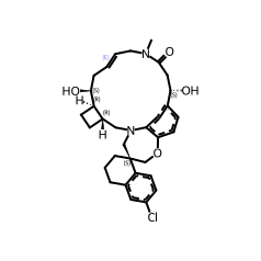 CN1C/C=C/C[C@H](O)[C@@H]2CC[C@H]2CN2C[C@@]3(CCCc4cc(Cl)ccc43)COc3ccc(cc32)[C@@H](O)CC1=O